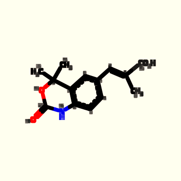 CC(=Cc1ccc2c(c1)C(C)(C)OC(=O)N2)C(=O)O